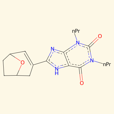 CCCn1c(=O)c2[nH]c(C3=CC4CCC(C3)O4)nc2n(CCC)c1=O